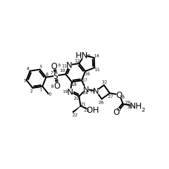 Cc1ccccc1S(=O)(=O)c1nc2[nH]ccc2c2c1nc([C@H](C)O)n2N1CC(OC(N)=O)C1